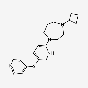 [C]1=C(N2CCCN(C3CCC3)CC2)NCC(Sc2ccncc2)=C1